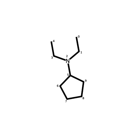 CCN(CC)C1CCCC1